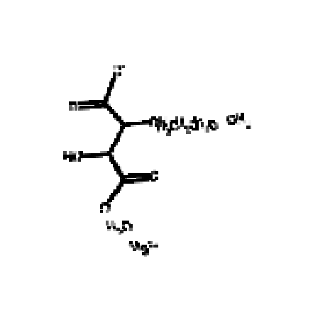 O.O.O.O.O.O=C([O-])C(O)C(O)C(=O)[O-].[Mg+2]